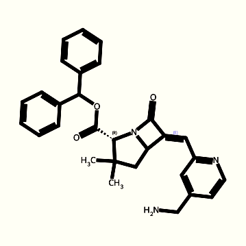 CC1(C)CC2/C(=C\c3cc(CN)ccn3)C(=O)N2[C@H]1C(=O)OC(c1ccccc1)c1ccccc1